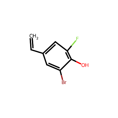 C=Cc1cc(F)c(O)c(Br)c1